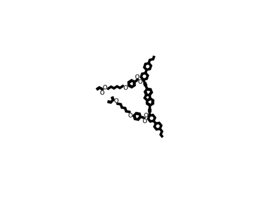 C=CC(=C)OCCCCCCOc1ccc(C(=O)OC2(C#Cc3ccc4c(c3)Cc3cc(C#CC5(OC(=O)c6ccc(OCCCCCCOC(=O)C=C)cc6)CCC(C6CCC(CCC)CC6)CC5)ccc3-4)CCC(C3CCC(CCC)CC3)CC2)cc1